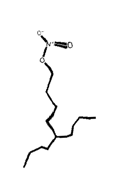 CCCC(CCC)CCCCO[N+](=O)[O-]